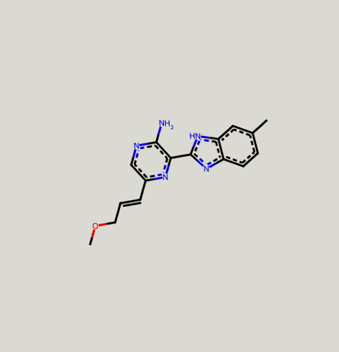 COCC=Cc1cnc(N)c(-c2nc3ccc(C)cc3[nH]2)n1